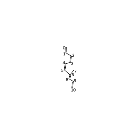 C=C\C=C/C=C\C(C)=C\C=C